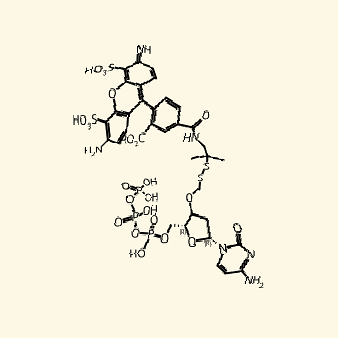 CC(C)(CNC(=O)c1ccc(-c2c3ccc(=N)c(S(=O)(=O)O)c-3oc3c(S(=O)(=O)O)c(N)ccc23)c(C(=O)O)c1)SSCOC1C[C@H](n2ccc(N)nc2=O)O[C@@H]1COP(=O)(O)OP(=O)(O)OP(=O)(O)O